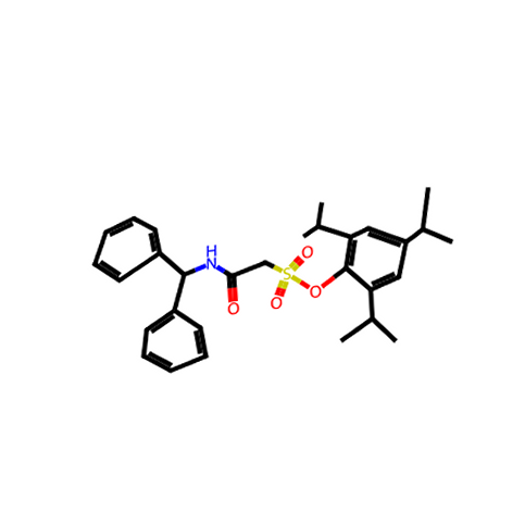 CC(C)c1cc(C(C)C)c(OS(=O)(=O)CC(=O)NC(c2ccccc2)c2ccccc2)c(C(C)C)c1